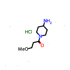 COCCC(=O)N1CCC(N)CC1.Cl